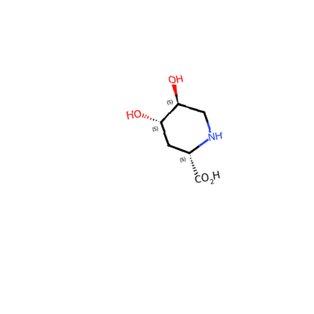 O=C(O)[C@@H]1C[C@H](O)[C@@H](O)CN1